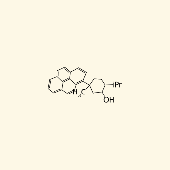 CC(C)C1CCC(C)(c2ccc3ccc4cccc5ccc2c3c45)CC1O